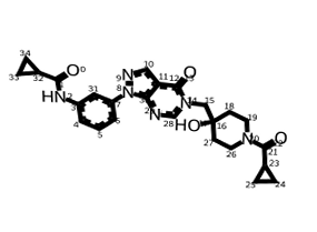 O=C(Nc1cccc(-n2ncc3c(=O)n(CC4(O)CCN(C(=O)C5CC5)CC4)cnc32)c1)C1CC1